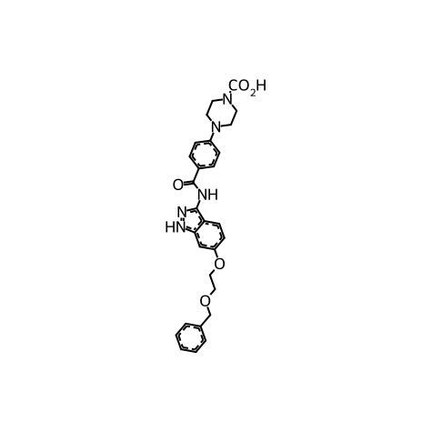 O=C(Nc1n[nH]c2cc(OCCOCc3ccccc3)ccc12)c1ccc(N2CCN(C(=O)O)CC2)cc1